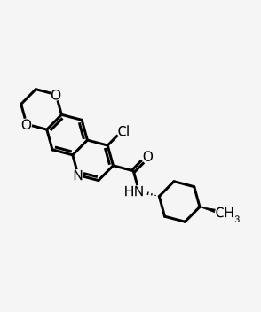 C[C@H]1CC[C@H](NC(=O)c2cnc3cc4c(cc3c2Cl)OCCO4)CC1